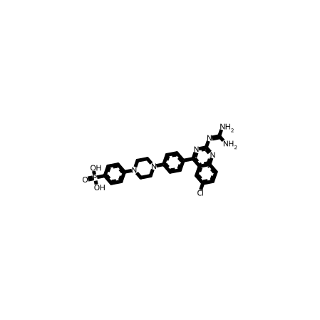 NC(N)=Nc1nc(-c2ccc(N3CCN(c4ccc(P(=O)(O)O)cc4)CC3)cc2)c2cc(Cl)ccc2n1